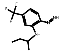 CCC(C)Nc1cc(C(F)(F)F)ccc1N=N